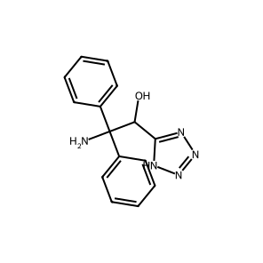 NC(c1ccccc1)(c1ccccc1)C(O)c1nnn[nH]1